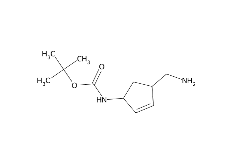 CC(C)(C)OC(=O)NC1C=CC(CN)C1